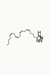 CCCC/C=C\C/C=C\C/C=C\C/C=C\CCCc1nnn[nH]1